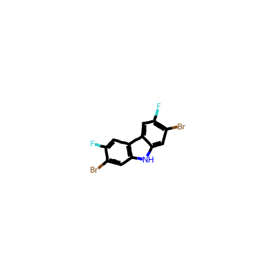 Fc1cc2c(cc1Br)[nH]c1cc(Br)c(F)cc12